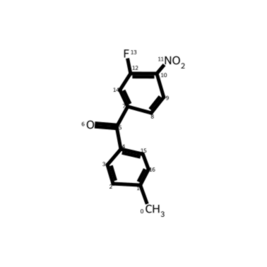 Cc1ccc(C(=O)c2ccc([N+](=O)[O-])c(F)c2)cc1